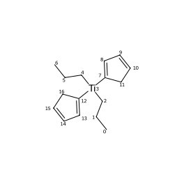 CC[CH2][Ti]([CH2]CC)([C]1=CC=CC1)[C]1=CC=CC1